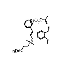 C=C(C)C(=O)OCC.C=Cc1ccccc1C=C.CCCCCCCCCCCC[N+](C)(C)CC=Cc1ccccc1